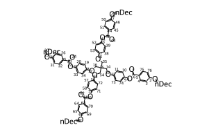 CCCCCCCCCCOc1ccc(C(=O)Oc2ccc(OCC(COc3ccc(OC(=O)c4ccc(OCCCCCCCCCC)cc4)cc3)(COc3ccc(OC(=O)c4ccc(OCCCCCCCCCC)cc4)cc3)COc3ccc(OC(=O)c4ccc(OCCCCCCCCCC)cc4)cc3)cc2)cc1